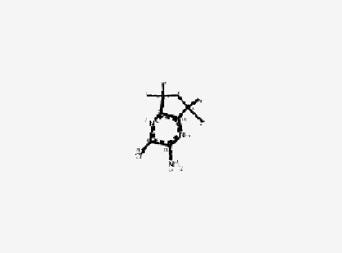 CC1(C)CC(C)(C)c2nc(Cl)c(N)nc21